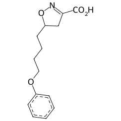 O=C(O)C1=NOC(CCCCOc2ccccc2)C1